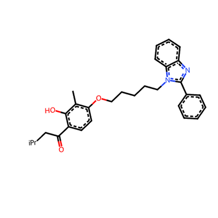 Cc1c(OCCCCCn2c(-c3ccccc3)nc3ccccc32)ccc(C(=O)CC(C)C)c1O